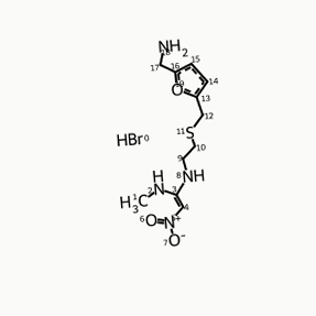 Br.CNC(=C[N+](=O)[O-])NCCSCc1ccc(CN)o1